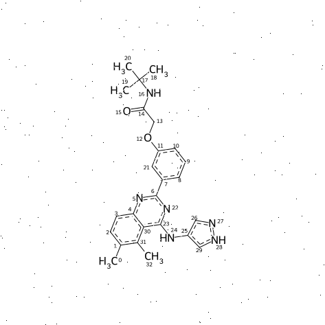 Cc1ccc2nc(-c3cccc(OCC(=O)NC(C)(C)C)c3)nc(Nc3cn[nH]c3)c2c1C